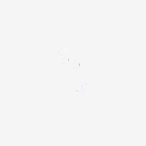 O=C1NCc2ccc(-c3ccc(S[C@H]4CC[C@H](Nc5ccc(C(F)(F)F)cn5)CC4)cc3)cc21